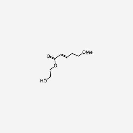 COCCC=CC(=O)OCCO